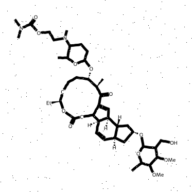 CC[C@H]1CCC[C@H](OC2CCC(N(C)CCOC(=O)N(C)C)C(C)O2)[C@@H](C)C(=O)C2=C[C@H]3[C@@H]4C[C@H](OC5OC(C)C(OC)C(OC)C5CO)C[C@H]4C=C[C@H]3C2CC(=O)O1